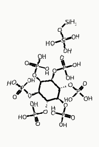 O=P(O)(O)O[C@H]1[C@H](OP(=O)(O)O)[C@@H](OP(=O)(O)O)[C@H](OP(=O)(O)O)[C@@H](OP(=O)(O)O)[C@H]1OP(=O)(O)O.O[Si](O)(O)O[SiH3]